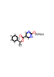 CCCCCCOc1ncc(C(=O)OC(CC)c2ccccc2)cn1